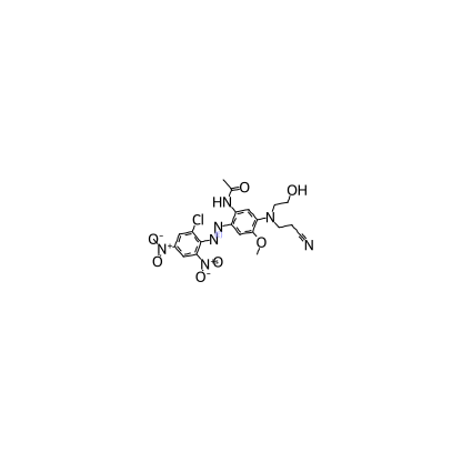 COc1cc(/N=N/c2c(Cl)cc([N+](=O)[O-])cc2[N+](=O)[O-])c(NC(C)=O)cc1N(CCO)CCC#N